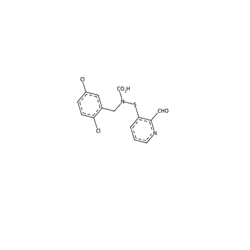 O=Cc1ncccc1SN(Cc1cc(Cl)ccc1Cl)C(=O)O